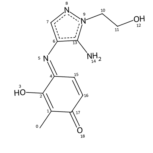 CC1=C(O)C(=Nc2cnn(CCO)c2N)C=CC1=O